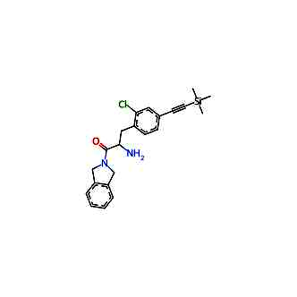 C[Si](C)(C)C#Cc1ccc(CC(N)C(=O)N2Cc3ccccc3C2)c(Cl)c1